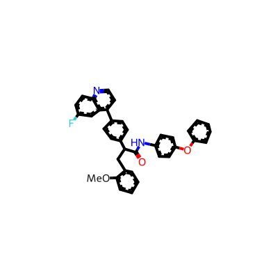 COc1ccccc1CC(C(=O)Nc1ccc(Oc2ccccc2)cc1)c1ccc(-c2ccnc3ccc(F)cc23)cc1